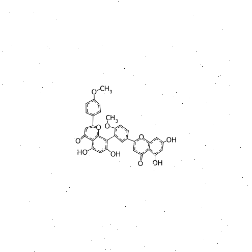 COc1ccc(-c2cc(=O)c3c(O)cc(O)c(-c4cc(-c5cc(=O)c6c(O)cc(O)cc6o5)ccc4OC)c3o2)cc1